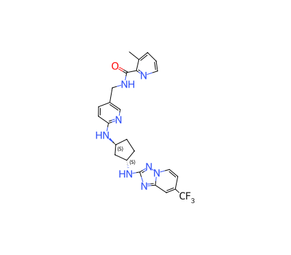 Cc1cccnc1C(=O)NCc1ccc(N[C@H]2CC[C@H](Nc3nc4cc(C(F)(F)F)ccn4n3)C2)nc1